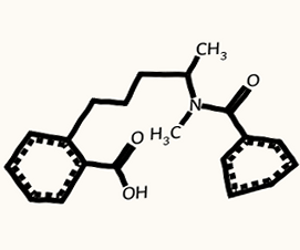 CC(CCCc1ccccc1C(=O)O)N(C)C(=O)c1ccccc1